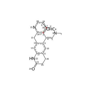 CC(C)=C/C(=C\N(C)C=O)c1cc2c(cc1Cc1ccccn1)NC(=O)CC2